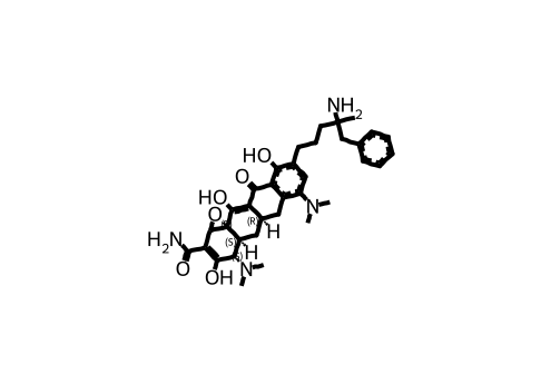 CN(C)c1cc(CCCC(C)(N)Cc2ccccc2)c(O)c2c1C[C@H]1C[C@H]3[C@H](N(C)C)C(O)=C(C(N)=O)C4O[C@@]43C(O)=C1C2=O